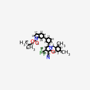 Cc1ccc(Cn2c(-c3cccc(-c4ccc5ccn(C(=O)OCC(C)C)c5c4)c3)cc(C(F)(F)F)c(C#N)c2=O)c(C)c1